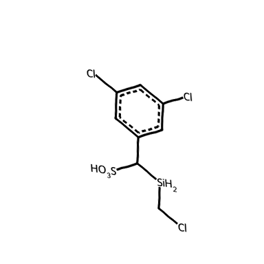 O=S(=O)(O)C([SiH2]CCl)c1cc(Cl)cc(Cl)c1